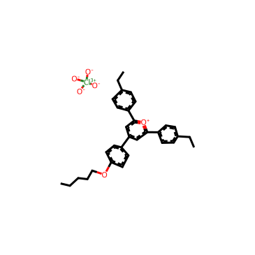 CCCCCOc1ccc(-c2cc(-c3ccc(CC)cc3)[o+]c(-c3ccc(CC)cc3)c2)cc1.[O-][Cl+3]([O-])([O-])[O-]